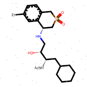 CCc1ccc2c(c1)[C@@H](NC[C@@H](O)[C@H](CC1CCCCC1)NC(C)=O)CS(=O)(=O)C2